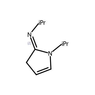 CC(C)/N=C1/CC=CN1C(C)C